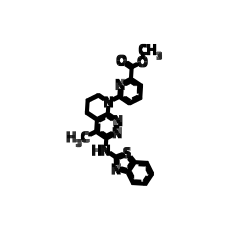 COC(=O)c1cccc(N2CCCc3c2nnc(Nc2nc4ccccc4s2)c3C)n1